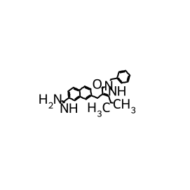 CC(C)c1[nH]n(Cc2ccccc2)c(=O)c1Cc1ccc2ccc(C(=N)N)cc2c1